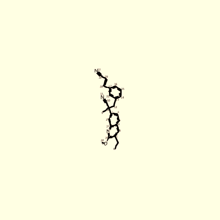 CCc1cc2ccc(C(C)(C#N)Cc3cccc(/C=C/C#N)c3)cc2nc1OC